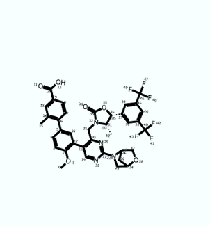 COc1ccc(-c2ccc(C(=O)O)cc2C)cc1-c1cnc(N2CC3CC2CO3)nc1CN1C(=O)O[C@H](c2cc(C(F)(F)F)cc(C(F)(F)F)c2)[C@@H]1C